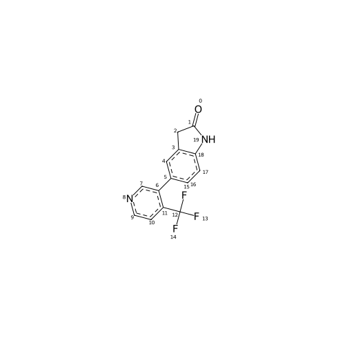 O=C1Cc2cc(-c3cnccc3C(F)(F)F)ccc2N1